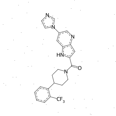 O=C(c1cc2ncc(-n3ccnc3)cc2[nH]1)N1CCC(c2ccccc2C(F)(F)F)CC1